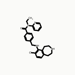 CCN(C(=O)c1ccc(CNc2c(Cl)ccc3c2CCNCC3)cc1)c1ccccn1